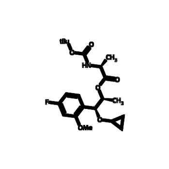 COc1cc(F)ccc1[C@H](OC1CC1)[C@H](C)OC(=O)[C@H](C)NC(=O)OC(C)(C)C